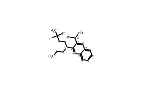 CCCN(CCC(C)(F)F)c1nc2ccccc2cc1B(O)O